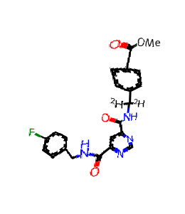 [2H]C([2H])(NC(=O)c1cc(C(=O)NCc2ccc(F)cc2)ncn1)c1ccc(C(=O)OC)cc1